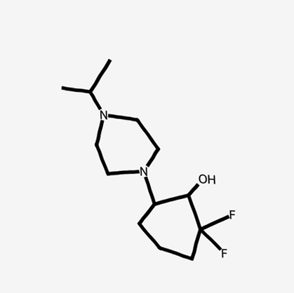 CC(C)N1CCN(C2CCCC(F)(F)C2O)CC1